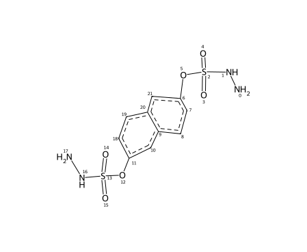 NNS(=O)(=O)Oc1ccc2cc(OS(=O)(=O)NN)ccc2c1